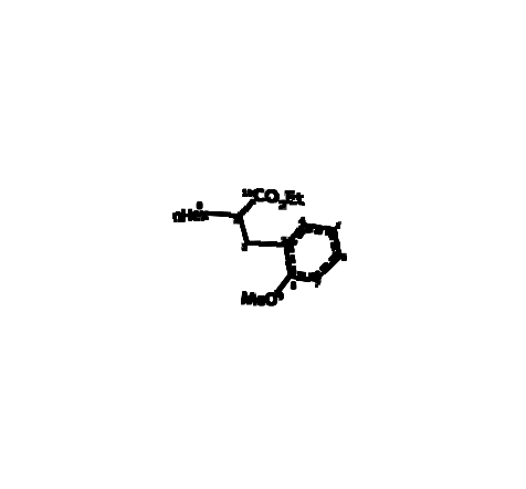 CCCCCCC(Cc1ccccc1OC)C(=O)OCC